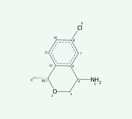 C[C@H]1OCC(N)c2cc(Cl)ccc21